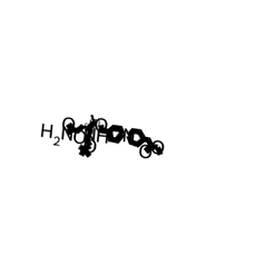 COC(=O)CC1CCN(c2ccc(CO[C@H](C)[C@H](CCC(N)=O)NC(=O)OC(C)(C)C)cc2)CC1